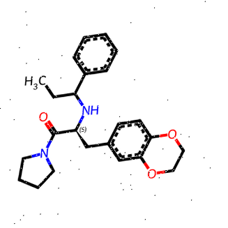 CCC(N[C@@H](Cc1ccc2c(c1)OCCO2)C(=O)N1CCCC1)c1ccccc1